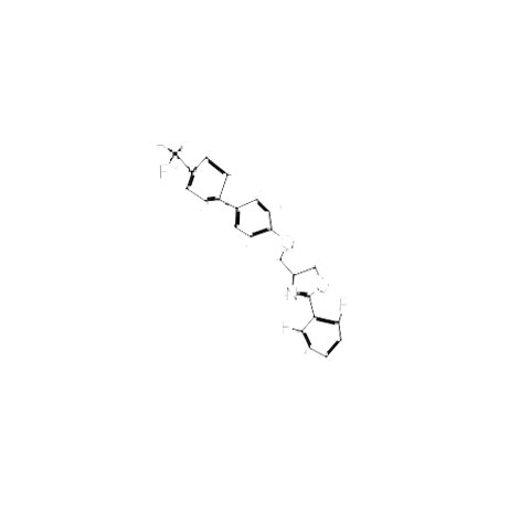 Fc1cccc(F)c1C1=NC(COc2ccc(-c3ccc(C(F)(F)F)cc3)cc2)CO1